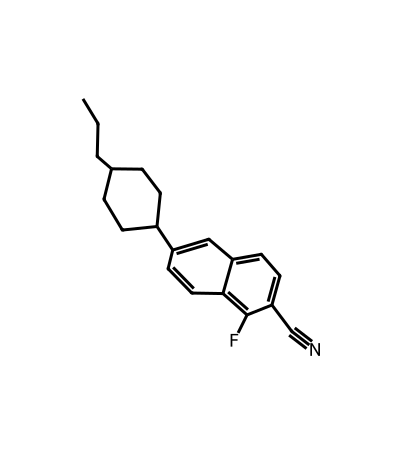 CCCC1CCC(c2ccc3c(F)c(C#N)ccc3c2)CC1